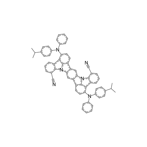 CC(C)c1ccc(N(c2ccccc2)c2ccc3c4cc5c(cc4n4c6c(C#N)cccc6c2c34)c2ccc(N(c3ccccc3)c3ccc(C(C)C)cc3)c3c4cccc(C#N)c4n5c23)cc1